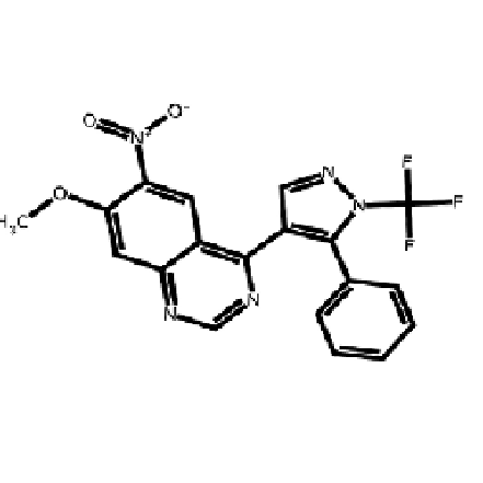 COc1cc2ncnc(-c3cnn(C(F)(F)F)c3-c3ccccc3)c2cc1[N+](=O)[O-]